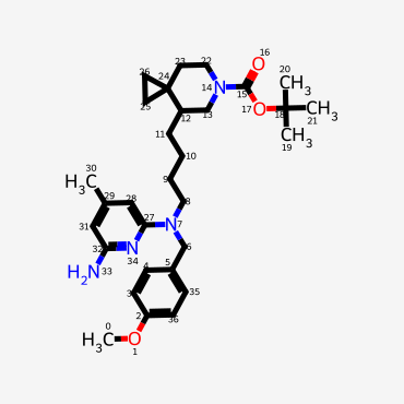 COc1ccc(CN(CCCCC2CN(C(=O)OC(C)(C)C)CCC23CC3)c2cc(C)cc(N)n2)cc1